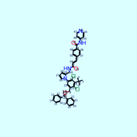 CC(C)(C)c1c(Cl)c(CO[SiH](c2ccccc2)c2ccccc2)cc(-n2cccc2CNC(=O)C=Cc2ccc(C(=O)Nc3ccncc3)cc2)c1Cl